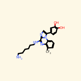 NCCCCCCNc1nc2c(C(F)(F)F)cccc2n2c(-c3ccc(O)c(O)c3)cnc12